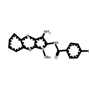 CCCCn1c(NC(=O)c2ccc(Cl)cc2)c(N)c2nc3ccccc3nc21